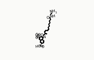 C=C(/C=C\C=C/CCCCCCC(=O)NCCN)c1nc2c(o1)c(S(=O)(=O)OC)cc1cc(S(=O)O)ccc12